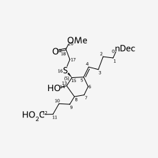 CCCCCCCCCCCCCC=C1CCC(CCCC(=O)O)C(O)[C@H]1SCC(=O)OC